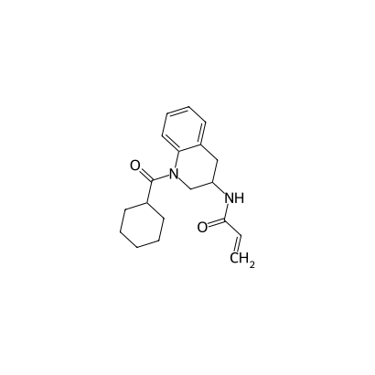 C=CC(=O)NC1Cc2ccccc2N(C(=O)C2CCCCC2)C1